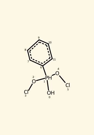 O[PH](OCl)(OCl)c1ccccc1